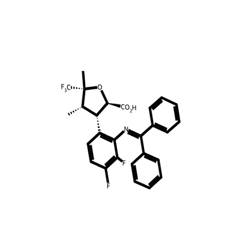 C[C@H]1[C@@H](c2ccc(F)c(F)c2N=C(c2ccccc2)c2ccccc2)[C@H](C(=O)O)O[C@@]1(C)C(F)(F)F